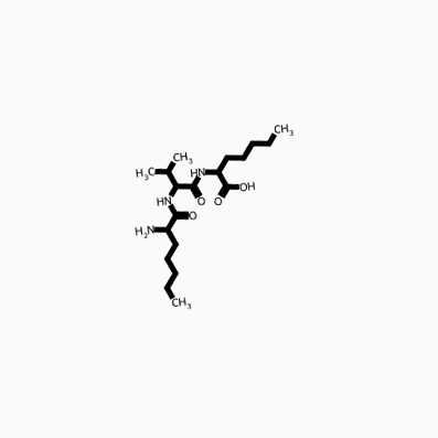 CCCCCC(N)C(=O)NC(C(=O)NC(CCCCC)C(=O)O)C(C)C